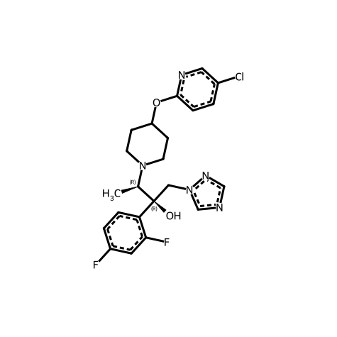 C[C@@H](N1CCC(Oc2ccc(Cl)cn2)CC1)[C@](O)(Cn1cncn1)c1ccc(F)cc1F